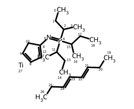 CCC(C)P(=NC1=CC=CC1)(C(C)CC)C(C)CC.CCC=CC=CCC.[Ti]